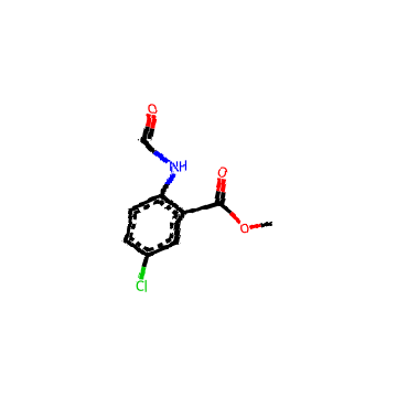 COC(=O)c1cc(Cl)ccc1N[C]=O